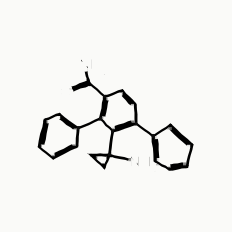 NC(=O)c1ccc(-c2ccccc2)c(C2(N)CC2)c1-c1ccccc1